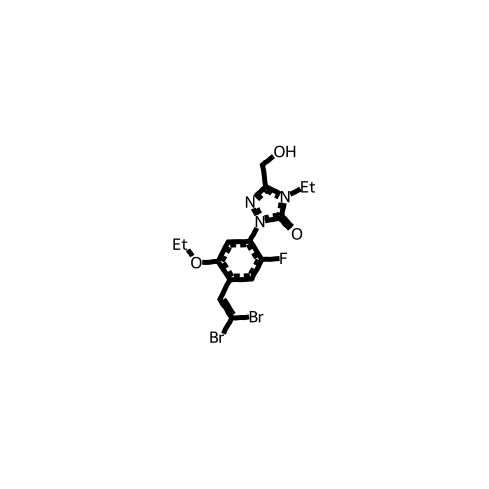 CCOc1cc(-n2nc(CO)n(CC)c2=O)c(F)cc1C=C(Br)Br